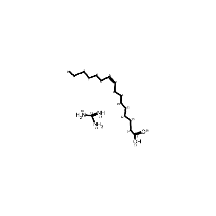 CCCCCC/C=C\CCCCCCCC(=O)O.N=C(N)N